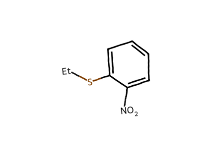 CCSc1ccccc1[N+](=O)[O-]